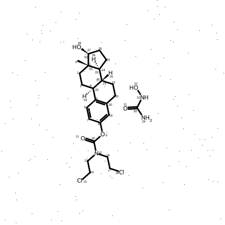 C[C@]12CC[C@@H]3c4ccc(OC(=O)N(CCCl)CCCl)cc4CC[C@H]3[C@@H]1CC[C@@H]2O.NC(=O)NO